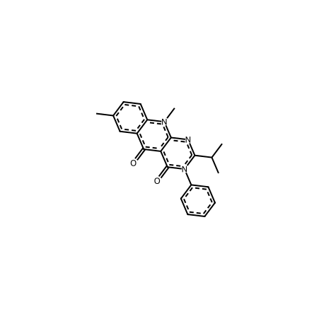 Cc1ccc2c(c1)c(=O)c1c(=O)n(-c3ccccc3)c(C(C)C)nc1n2C